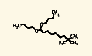 CCCCOC(CCCCCCC(C)(C)C)OCCCC